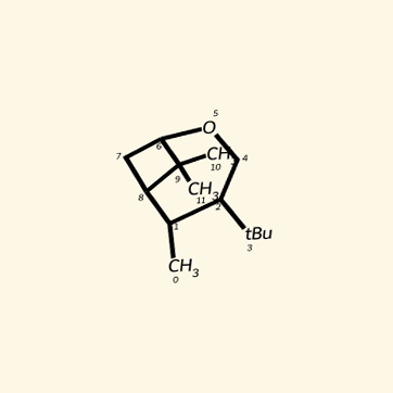 CC1C(C(C)(C)C)COC2CC1C2(C)C